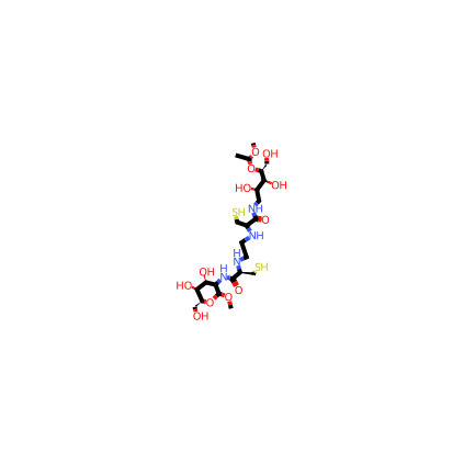 COC(C)O[C@H](CO)[C@@H](O)[C@H](O)CNC(=O)C(CS)NCCN[C@@H](CS)C(=O)NC1C(OC)O[C@H](CO)[C@@H](O)[C@@H]1O